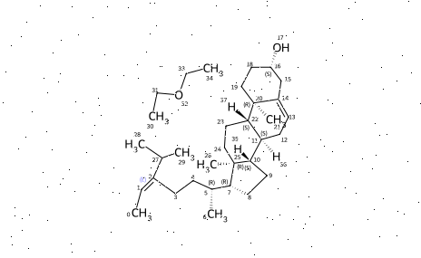 C/C=C(\CC[C@@H](C)[C@H]1CC[C@H]2[C@@H]3CC=C4C[C@@H](O)CC[C@]4(C)[C@H]3CC[C@]12C)C(C)C.CCOCC